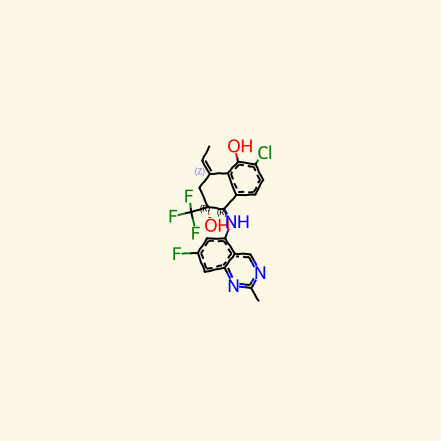 C/C=C1/C[C@](O)(C(F)(F)F)[C@H](Nc2cc(F)cc3nc(C)ncc23)c2ccc(Cl)c(O)c21